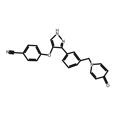 N#Cc1ccc(Oc2c[nH]nc2-c2cccc(Cn3ccc(=O)cc3)c2)cc1